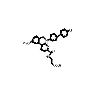 COc1ccc(CNc2ccc(-c3ccc(Cl)cc3)cc2)c(-c2ccc(C(=O)NCCC(=O)O)nc2)c1